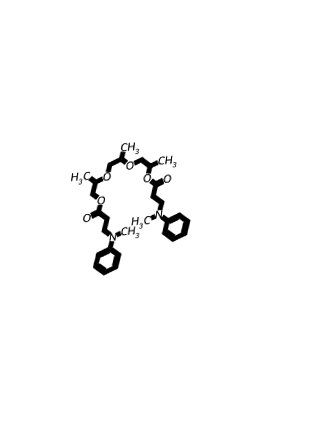 CC(COC(=O)CCN(C)c1ccccc1)OCC(C)OCC(C)OC(=O)CCN(C)c1ccccc1